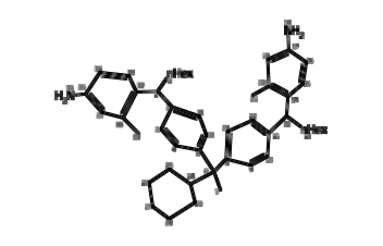 CCCCCCC(c1ccc(C(C)(c2ccc(C(CCCCCC)c3ccc(N)cc3C)cc2)C2CCCCC2)cc1)c1ccc(N)cc1C